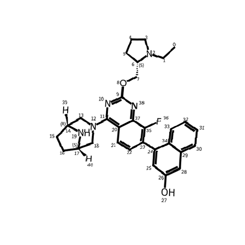 CCN1CCC[C@H]1COc1nc(N2C[C@H]3CC[C@@H](C2)N3)c2ccc(-c3cc(O)cc4ccccc34)c(F)c2n1